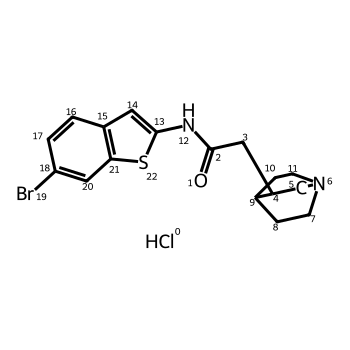 Cl.O=C(CC1CN2CCC1CC2)Nc1cc2ccc(Br)cc2s1